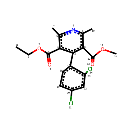 CCOC(=O)c1c(C)nc(C)c(C(=O)OC)c1-c1ccc(Cl)cc1Cl